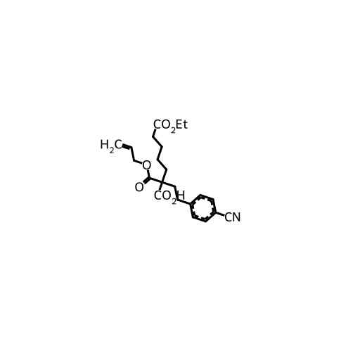 C=CCOC(=O)C(CCCCC(=O)OCC)(CCc1ccc(C#N)cc1)C(=O)O